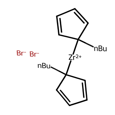 CCCC[C]1([Zr+2][C]2(CCCC)C=CC=C2)C=CC=C1.[Br-].[Br-]